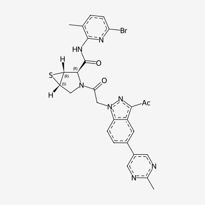 CC(=O)c1nn(CC(=O)N2C[C@@H]3S[C@@H]3[C@H]2C(=O)Nc2nc(Br)ccc2C)c2ccc(-c3cnc(C)nc3)cc12